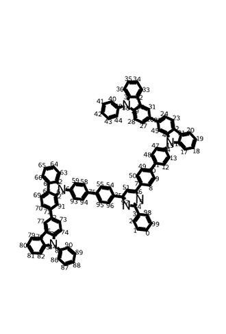 c1ccc(-c2nc(-c3ccc(-c4ccc(-n5c6ccccc6c6ccc(-c7ccc8c(c7)c7ccccc7n8-c7ccccc7)cc65)cc4)cc3)cc(-c3ccc(-c4ccc(-n5c6ccccc6c6ccc(-c7ccc8c(c7)c7ccccc7n8-c7ccccc7)cc65)cc4)cc3)n2)cc1